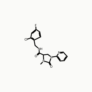 CN1C(=O)N(c2ccccn2)CC1C(=O)NCc1ccc(F)cc1Cl